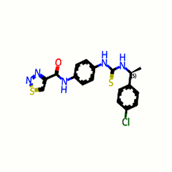 C[C@H](NC(=S)Nc1ccc(NC(=O)c2csnn2)cc1)c1ccc(Cl)cc1